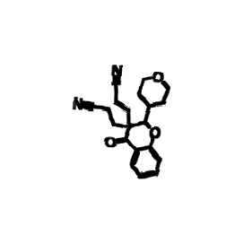 N#CCCC1(CCC#N)C(=O)c2ccccc2OC1C1CCOCC1